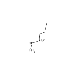 Br.CCCCPP